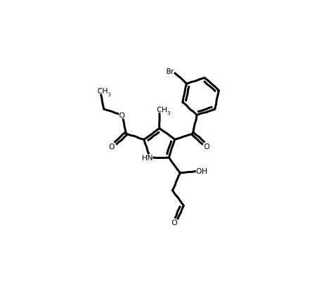 CCOC(=O)c1[nH]c(C(O)CC=O)c(C(=O)c2cccc(Br)c2)c1C